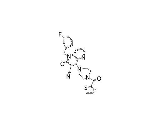 N#Cc1c(N2CCN(C(=O)c3cccs3)CC2)c2ncccc2n(Cc2cccc(F)c2)c1=O